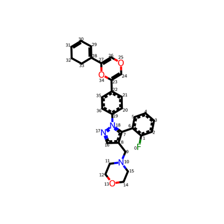 Fc1ccccc1-c1c(CN2CCOCC2)cnn1-c1ccc(C2=COC=C(C3=CC=CCC3)O2)cc1